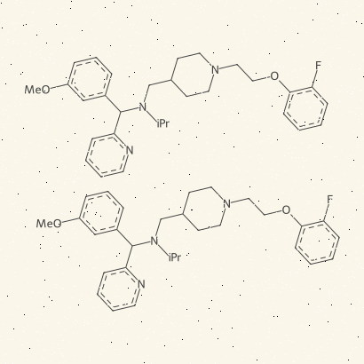 COc1cccc(C(c2ccccn2)N(CC2CCN(CCOc3ccccc3F)CC2)C(C)C)c1.COc1cccc(C(c2ccccn2)N(CC2CCN(CCOc3ccccc3F)CC2)C(C)C)c1